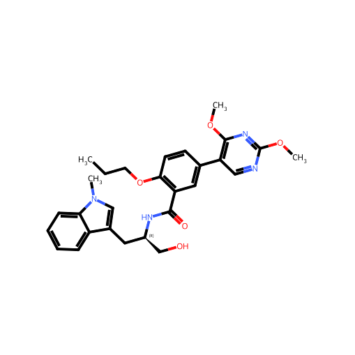 CCCOc1ccc(-c2cnc(OC)nc2OC)cc1C(=O)N[C@@H](CO)Cc1cn(C)c2ccccc12